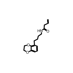 C=CCC(=O)NCCCCc1cccc2c1OCCO2